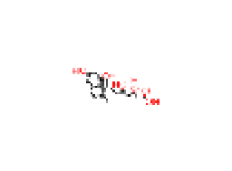 C[C@H]1C=CC2=C[C@H](O)C[C@H](O)[C@@H]2[C@H]1CC[C@@H](O)C[C@@H](O)CC(=O)O